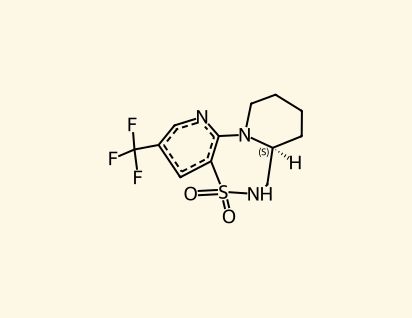 O=S1(=O)NC[C@@H]2CCCCN2c2ncc(C(F)(F)F)cc21